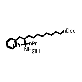 CCCCCCCCCCCCCCCCCCC(Cc1ccccc1)C(N)(CCC)CCC.Cl